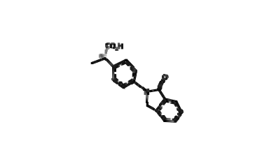 C[C@H](C(=O)O)c1ccc(N2Cc3ccccc3C2=O)cc1